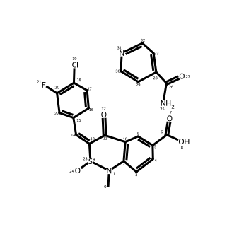 CN1c2ccc(C(=O)O)cc2C(=O)/C(=C\c2ccc(Cl)c(F)c2)[S+]1[O-].NC(=O)c1ccncc1